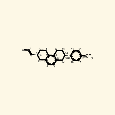 CC=C[C@H]1CCc2c(ccc3c2CC[C@H](c2ccc(C(F)(F)F)cc2)C3)C1